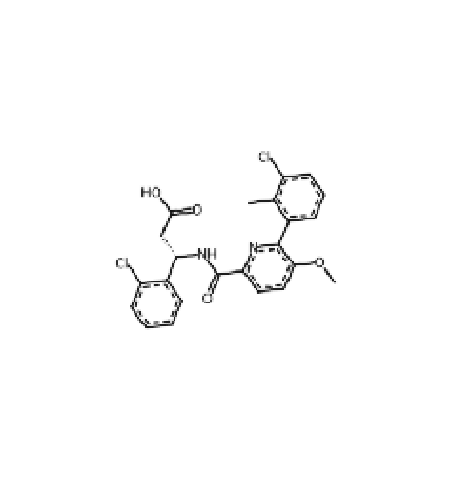 COc1ccc(C(=O)N[C@@H](CC(=O)O)c2ccccc2Cl)nc1-c1cccc(Cl)c1C